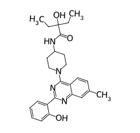 CCC(O)(CC)C(=O)NC1CCN(c2nc(-c3ccccc3O)nc3cc(C)ccc23)CC1